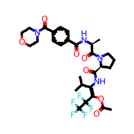 CC(=O)O/C(=C(\NC(=O)[C@@H]1CCCN1C(=O)[C@H](C)NC(=O)c1ccc(C(=O)N2CCOCC2)cc1)C(C)C)C(F)(F)C(F)(F)F